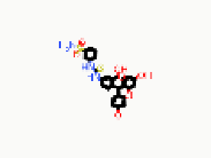 NS(=O)(=O)c1cccc(NC(=S)Nc2ccc(-c3c4ccc(=O)cc-4oc4cc(O)ccc34)c(C(=O)O)c2)c1